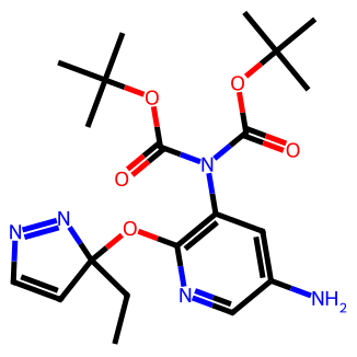 CCC1(Oc2ncc(N)cc2N(C(=O)OC(C)(C)C)C(=O)OC(C)(C)C)C=CN=N1